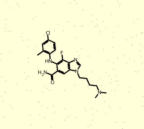 Cc1cc(Cl)ccc1Nc1c(C(N)=O)cc2c(ncn2CCCCN(C)C)c1F